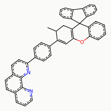 CC1CC2=C(C=C1c1ccc(-c3ccc4ccc5cccnc5c4n3)cc1)Oc1ccccc1C21c2ccccc2-c2ccccc21